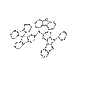 c1ccc(-n2c3ccc(N(c4ccc5c(c4)C4(c6ccccc6-c6ccccc64)c4ccccc4-5)c4cccc5oc6ccccc6c45)cc3n3c4ccccc4nc23)cc1